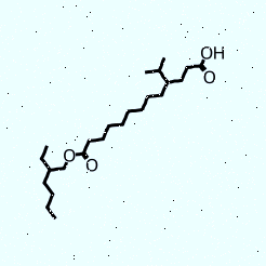 CCCCC(CC)COC(=O)CCCCCCCCC(CCC(=O)O)C(C)C